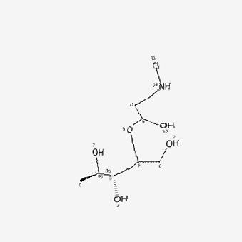 C[C@@H](O)[C@@H](O)C(CO)OC(O)CNCl